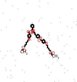 C=CC(=O)OCCCCCCOc1ccc(C(=O)OC[C@H](OC(=O)C=Cc2ccc(OC(=O)c3ccc(OCCCCCCOC(=O)C=C)cc3)cc2)c2ccccc2)cc1